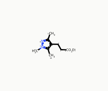 CCOC(=O)CCc1c(C)nn(C)c1C